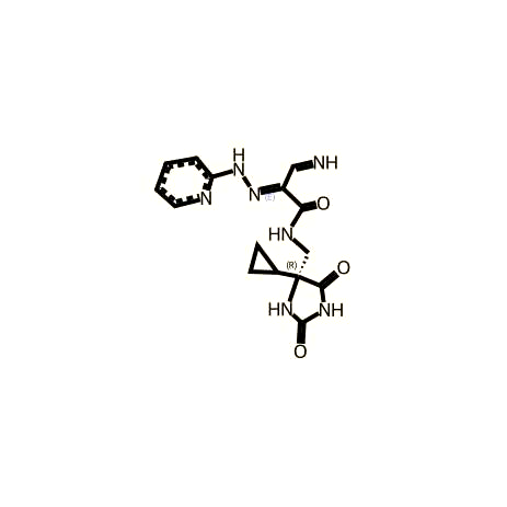 N=C/C(=N\Nc1ccccn1)C(=O)NC[C@@]1(C2CC2)NC(=O)NC1=O